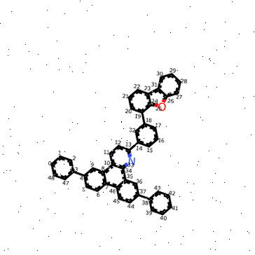 c1ccc(-c2ccc3c(c2)c2ccc(-c4cccc(-c5cccc6c5oc5ccccc56)c4)nc2c2cc(-c4ccccc4)ccc32)cc1